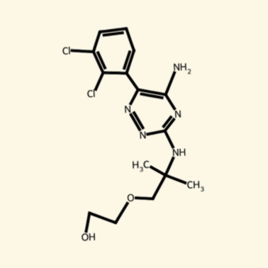 CC(C)(COCCO)Nc1nnc(-c2cccc(Cl)c2Cl)c(N)n1